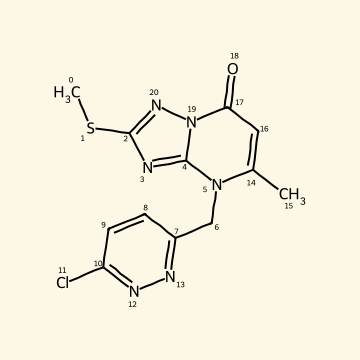 CSc1nc2n(Cc3ccc(Cl)nn3)c(C)cc(=O)n2n1